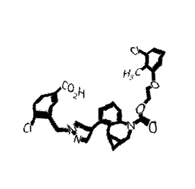 Cc1c(Cl)cccc1OCCOC(=O)N1CC2CC2c2c(-c3cnn(Cc4cc(C(=O)O)ccc4Cl)c3)cccc21